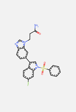 NC(=O)CCn1cnc2ccc(-c3cn(S(=O)(=O)c4ccccc4)c4cc(F)ccc34)cc21